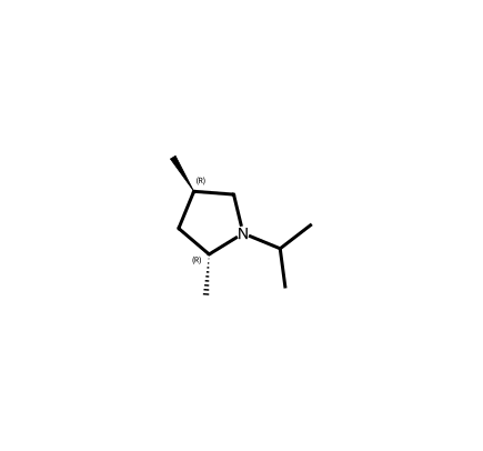 CC(C)N1C[C@H](C)C[C@H]1C